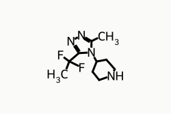 Cc1nnc(C(C)(F)F)n1C1CCNCC1